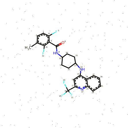 Cc1ccc(F)c(C(=O)NC2CCC(Nc3cc(C(F)(F)F)nc4ccccc34)CC2)c1F